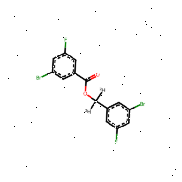 [2H]C([2H])(OC(=O)c1cc(F)cc(Br)c1)c1cc(F)cc(Br)c1